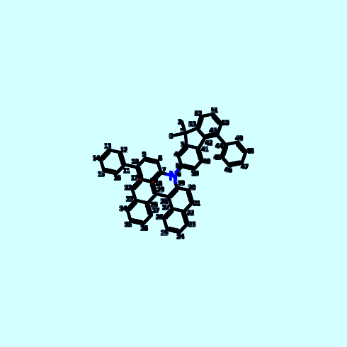 CC1(C)c2cc(N(c3ccc(-c4ccccc4)cc3)c3ccc4ccccc4c3-c3cccc4ccccc34)ccc2-c2c(-c3ccccc3)cccc21